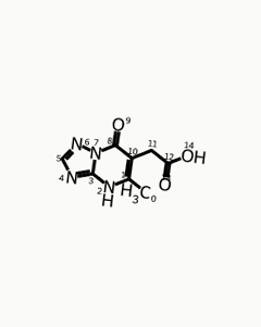 Cc1[nH]c2ncnn2c(=O)c1CC(=O)O